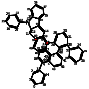 c1ccc(-c2ccc(N(c3ccc4c(c3)c3ccccc3n4-c3ccccc3)c3cccc(-c4ccccc4)c3-c3ccccc3-c3ccccc3)cc2)cc1